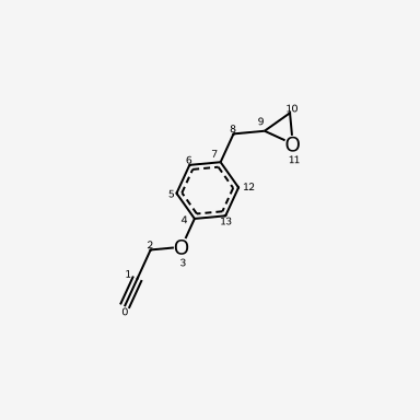 C#CCOc1ccc(CC2CO2)cc1